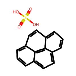 O=S(=O)(O)O.c1cc2ccc3cccc4ccc(c1)c2c34